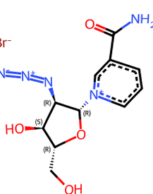 [Br-].[N-]=[N+]=N[C@@H]1[C@H](O)[C@@H](CO)O[C@H]1[n+]1cccc(C(N)=O)c1